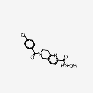 O=C(NO)c1ccc2c(n1)CCN(C(=O)c1ccc(Cl)cc1)C2